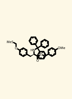 COc1ccc(COC(=O)[C@@H](Cc2ccc(OCSC)cc2)NC(c2ccccc2)(c2ccccc2)c2ccccc2)cc1